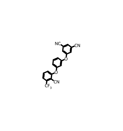 N#Cc1cc(C#N)cc(Oc2cccc(Oc3cccc(C(F)(F)F)c3C#N)c2)c1